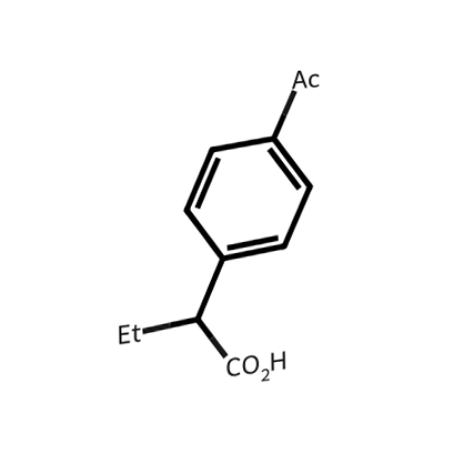 CCC(C(=O)O)c1ccc(C(C)=O)cc1